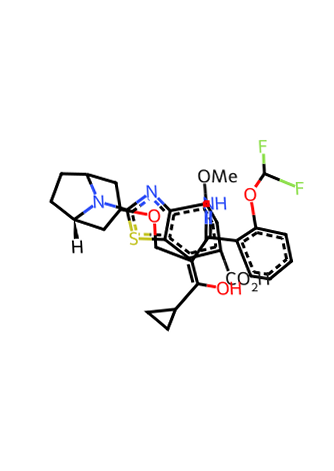 COc1cc(C(=O)O)cc2sc(N3C4CC[C@H]3CC(OC/C(C(=N)c3ccccc3OC(F)F)=C(/O)C3CC3)C4)nc12